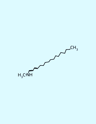 CCCCCCCCCCCCCC=CC=CNC